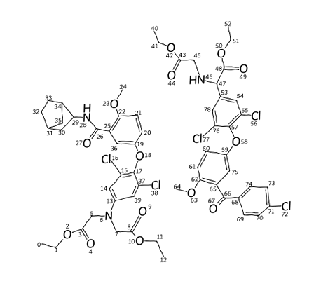 CCOC(=O)CN(CC(=O)OCC)c1cc(Cl)c(Oc2ccc(OC)c(C(=O)NC3CC4CCC3C4)c2)c(Cl)c1.CCOC(=O)CNC(C(=O)OCC)c1cc(Cl)c(Oc2ccc(OC)c(C(=O)c3ccc(Cl)cc3)c2)c(Cl)c1